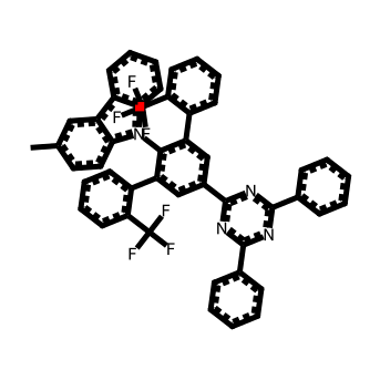 Cc1ccc2c(c1)c1ccccc1n2-c1c(-c2ccccc2C(F)(F)F)cc(-c2nc(-c3ccccc3)nc(-c3ccccc3)n2)cc1-c1ccccc1C(F)(F)F